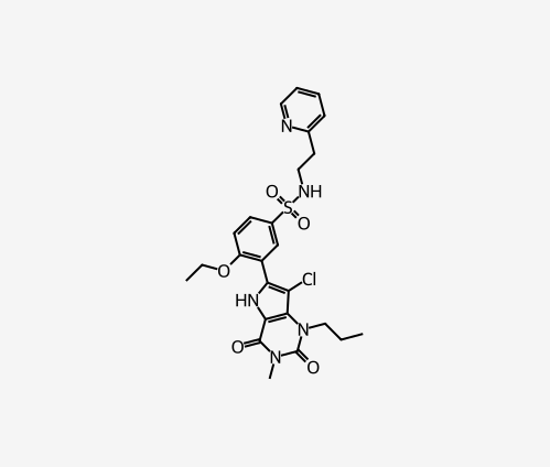 CCCn1c(=O)n(C)c(=O)c2[nH]c(-c3cc(S(=O)(=O)NCCc4ccccn4)ccc3OCC)c(Cl)c21